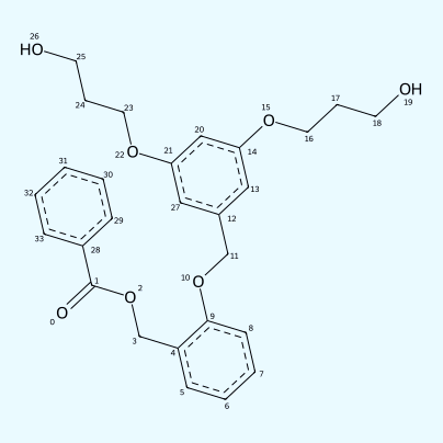 O=C(OCc1ccccc1OCc1cc(OCCCO)cc(OCCCO)c1)c1ccccc1